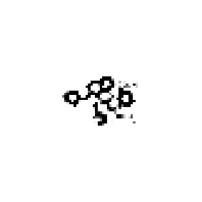 NC(=O)N(CC(=O)N(Cc1ccco1)C1c2ccccc2CCC1Cc1ccccc1)c1cccc(C(=O)O)c1